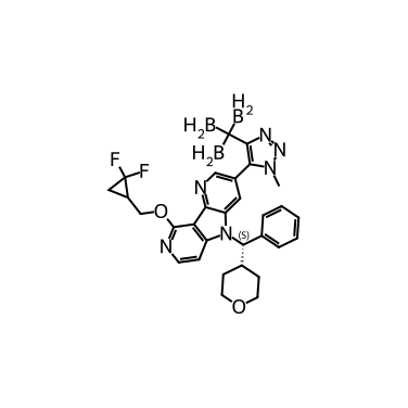 BC(B)(B)c1nnn(C)c1-c1cnc2c3c(OCC4CC4(F)F)nccc3n([C@H](c3ccccc3)C3CCOCC3)c2c1